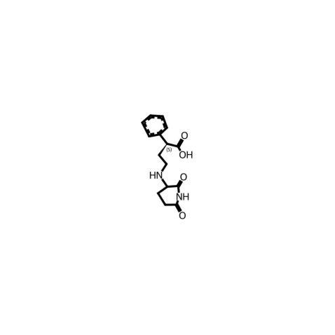 O=C1CCC(NCC[C@H](C(=O)O)c2ccccc2)C(=O)N1